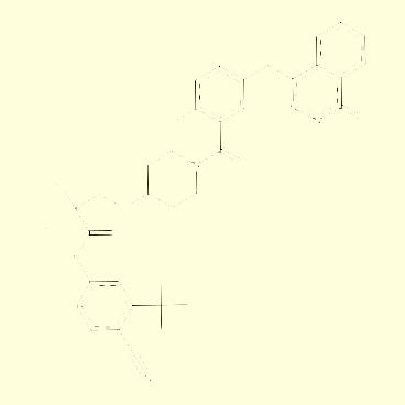 C[C@](O)(COC1CCN(C(=O)c2cc(Cc3n[nH]c(=O)c4ccccc34)ccc2F)CC1)C(=O)Nc1ccc(C#N)c(C(F)(F)F)c1